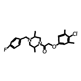 Cc1cc(OCC(=O)N2CC(C)N(Cc3ccc(F)cc3)CC2C)cc(C)c1Cl